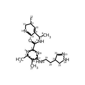 Cc1nc(C(=O)N[C@H](C)C2=CC(F)CN=C2)nc(NCCC2C=NNC2)c1C